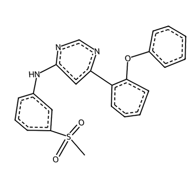 CS(=O)(=O)c1cccc(Nc2cc(-c3ccccc3Oc3ccccc3)ncn2)c1